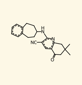 CC1(C)CC(=O)c2cc(C#N)c(NC3CCc4ccccc4CC3)nc2C1